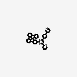 c1ccc(-c2cc(-c3ccc(-c4cccnc4)cc3)nc(-c3ccc4c(c3)C3(c5ccccc5-c5ccccc53)c3ccccc3-4)n2)nc1